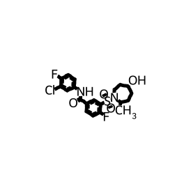 CC1CCC(O)CCN1S(=O)(=O)c1cc(C(=O)Nc2ccc(F)c(Cl)c2)ccc1F